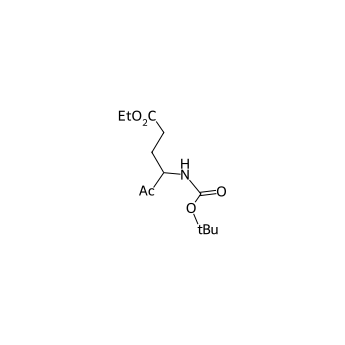 CCOC(=O)CCC(NC(=O)OC(C)(C)C)C(C)=O